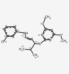 COc1cc(OC)nc(SC(C=NNc2cccc(Cl)c2)C(C)C)n1